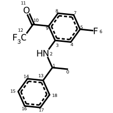 CC(Nc1cc(F)ccc1C(=O)C(F)(F)F)c1ccccc1